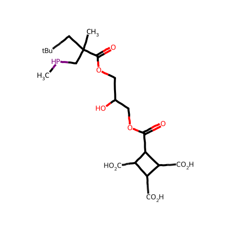 CPCC(C)(CC(C)(C)C)C(=O)OCC(O)COC(=O)C1C(C(=O)O)C(C(=O)O)C1C(=O)O